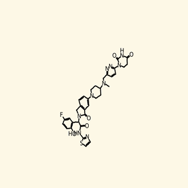 CN(Cc1ccc(N2CCC(=O)NC2=O)nn1)C1CCN(c2ccc3c(c2)C(=O)N(C(C(=O)Nc2nccs2)c2cc(F)ccc2O)C3)CC1